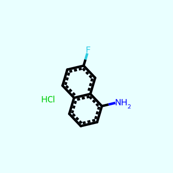 Cl.Nc1cccc2ccc(F)cc12